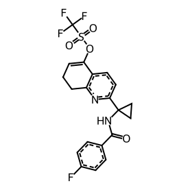 O=C(NC1(c2ccc3c(n2)CCC=C3OS(=O)(=O)C(F)(F)F)CC1)c1ccc(F)cc1